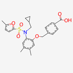 Cc1ccc(S(=O)(=O)N(CC2CC2)c2cc(C)c(C)cc2OCc2ccc(C(=O)O)cc2)o1